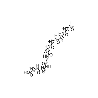 CC(=O)Nc1cn(C)c(C(=O)Nc2cn(C)c(C(=O)Nc3cc(C(=O)Nc4cc(C(=O)NCCCC(=O)Nc5cn(C)c(C(=O)Nc6cc(C(=O)O)n(C)c6)n5)n(C)c4)n(C)c3)n2)n1